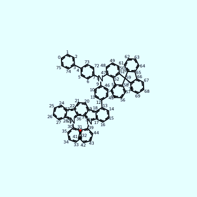 c1ccc(-c2ccc(N(c3ccc(-c4cccc5c4c4ccc6c7ccccc7n(-c7ccccc7)c6c4n5-c4ccccc4)cc3)c3cccc4c3-c3ccccc3C43c4ccccc4-c4ccccc43)cc2)cc1